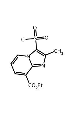 CCOC(=O)c1cccn2c(S(=O)(=O)Cl)c(C)nc12